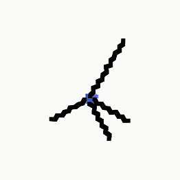 CCCCCCCCCCCCCCCCC[N+](CCCCCCCCCCC)(CCCCCCCCCCC)CCCCCCCCCCC